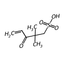 C=CC(=O)C(C)(C)CS(=O)(=O)O